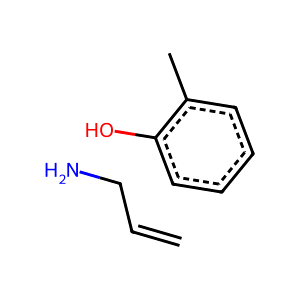 C=CCN.Cc1ccccc1O